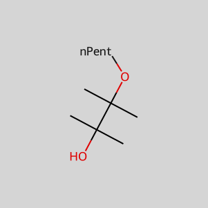 CCCCCOC(C)(C)C(C)(C)O